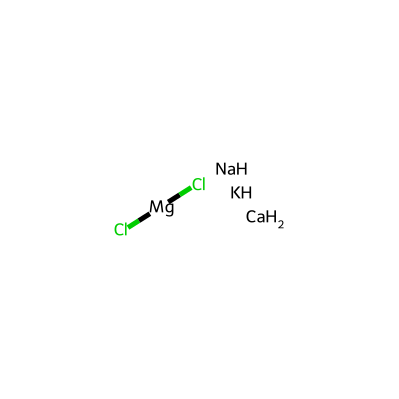 [CaH2].[Cl][Mg][Cl].[KH].[NaH]